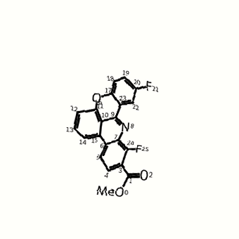 COC(=O)c1ccc2c(nc3c4c(cccc42)Oc2ccc(F)cc2-3)c1F